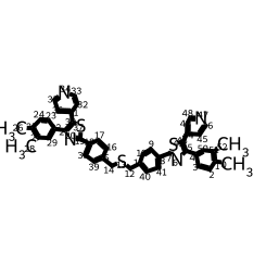 Cc1ccc(-c2nc(-c3ccc(CSCc4ccc(-c5nc(-c6ccc(C)c(C)c6)c(-c6ccncc6)s5)cc4)cc3)sc2-c2ccncc2)cc1C